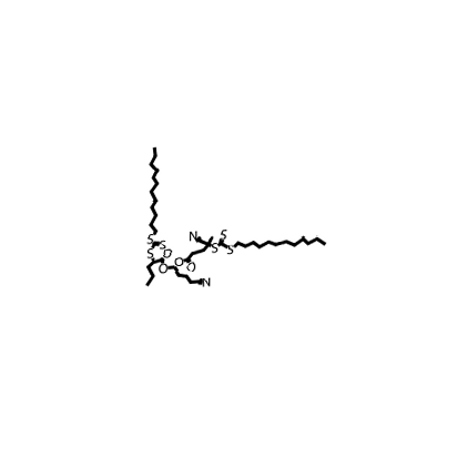 CCCCCCCCCCCCSC(=S)SC(CCC)C(=O)OC(CCCC#N)OC(=O)CCC(C)(C#N)SC(=S)SCCCCCCCCCCCC